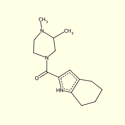 CC1CN(C(=O)c2cc3c([nH]2)CCCC3)CCN1C